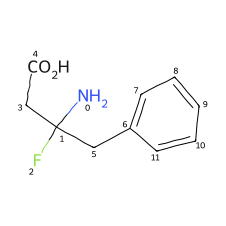 NC(F)(CC(=O)O)Cc1ccccc1